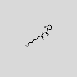 O=C(CCCCCO)NC(=O)[C@@H]1CCCN1